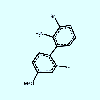 COc1ccc(-c2cccc(Br)c2N)c(F)c1